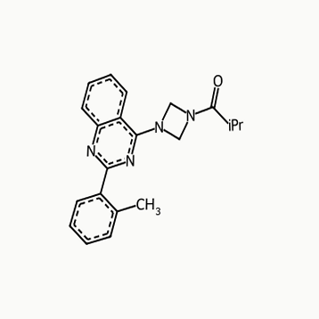 Cc1ccccc1-c1nc(N2CN(C(=O)C(C)C)C2)c2ccccc2n1